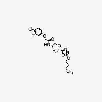 O=C(COc1ccc(Cl)c(F)c1)N[C@H]1CO[C@H](c2nnc(OCCCC(F)(F)F)o2)OC1